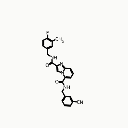 Cc1cc(CNC(=O)c2cn3c(C(=O)NCc4cccc(C#N)c4)cccc3n2)ccc1F